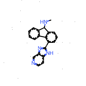 CNC1c2ccccc2-c2c(-c3nc4cnccc4[nH]3)cccc21